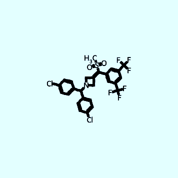 CS(=O)(=O)C(=C1CN(C(c2ccc(Cl)cc2)c2ccc(Cl)cc2)C1)c1cc(C(F)(F)F)cc(C(F)(F)F)c1